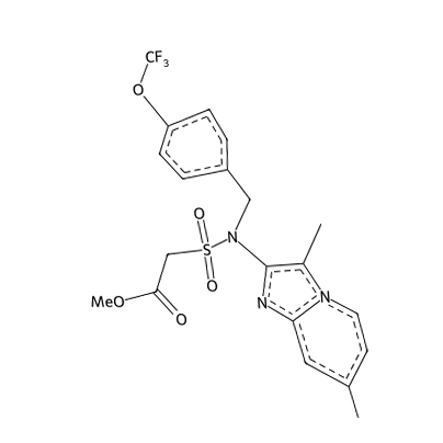 COC(=O)CS(=O)(=O)N(Cc1ccc(OC(F)(F)F)cc1)c1nc2cc(C)ccn2c1C